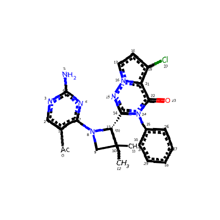 CC(=O)c1cnc(N)nc1N1CC(C)(C)[C@H]1c1nn2ccc(Cl)c2c(=O)n1-c1ccccc1